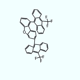 FC(F)(F)c1c2ccccc2c(-c2ccc3c(c2)oc2cccc(-c4c5ccccc5c(C(F)(F)F)c5ccccc45)c23)c2ccccc12